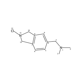 CN(C)Cc1ccc2c(c1)CN(Cl)C2